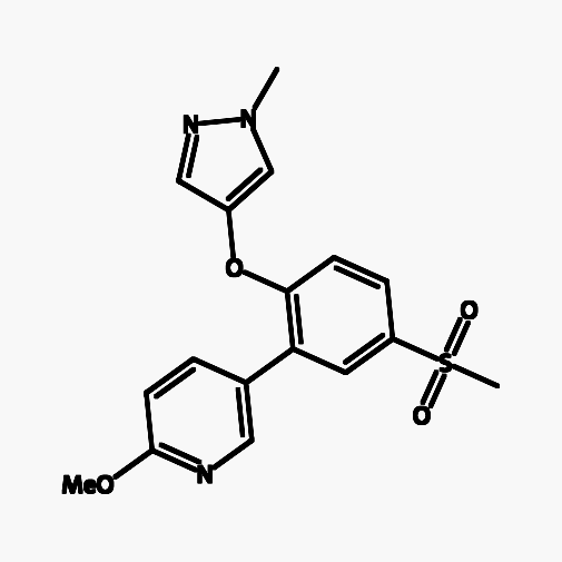 COc1ccc(-c2cc(S(C)(=O)=O)ccc2Oc2cnn(C)c2)cn1